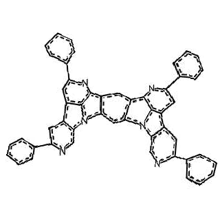 c1ccc(-c2cc3c4cc(-c5ccccc5)nc5c6cc7c8nc(-c9ccccc9)cc9c%10cc(-c%11ccccc%11)ncc%10n(c7cc6n(c3cn2)c45)c98)cc1